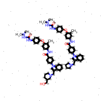 Cc1cc(NC(=O)c2ccc(-n3cc(CN4CCCC(CO)C4)c4ccccc43)cc2)ccc1Oc1ccc(NC(=O)NN(C)C)cc1.Cc1cc(NC(=O)c2ccc(-n3cc(CN4CCCC4)c4ccccc43)cc2)ccc1Oc1ccc(NC(=O)NN(C)C)cc1